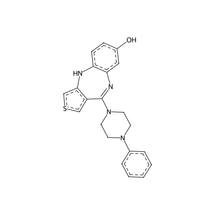 Oc1ccc2c(c1)N=C(N1CCN(c3ccccc3)CC1)c1cscc1N2